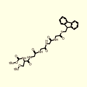 CC(C)(C)OCC(NC(=O)OC(C)(C)C)C(=O)NCC(=O)NCC(=O)NCC(=O)NCC(=O)SCC1c2ccccc2-c2ccccc21